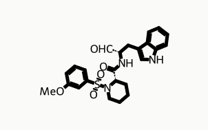 COc1cccc(S(=O)(=O)N2CCCC[C@H]2C(=O)N[C@H](C=O)Cc2c[nH]c3ccccc23)c1